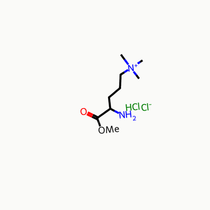 COC(=O)C(N)CCC[N+](C)(C)C.Cl.[Cl-]